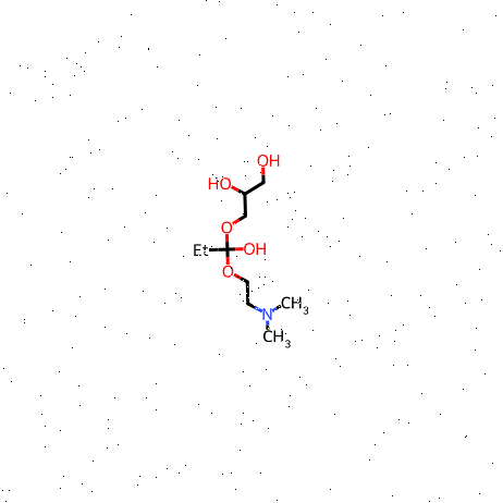 CCC(O)(OCCN(C)C)OCC(O)CO